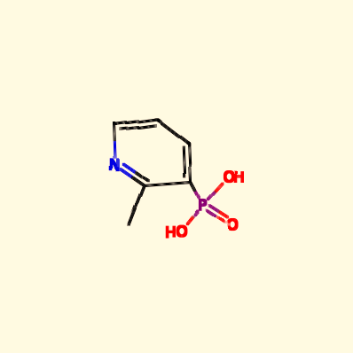 Cc1ncccc1P(=O)(O)O